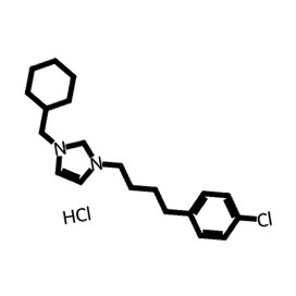 Cl.Clc1ccc(CCCCN2C=CN(CC3CCCCC3)C2)cc1